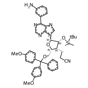 COc1ccc(C(OC[C@@H]2O[C@@H](n3cnc4c(-c5cccc(N)c5)ncnc43)[C@H](O[Si](C)(C)C(C)(C)C)[C@@H]2[CH]CC#N)(c2ccccc2)c2ccc(OC)cc2)cc1